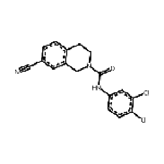 N#Cc1ccc2c(c1)CN(C(=O)Nc1ccc(Cl)c(Cl)c1)CC2